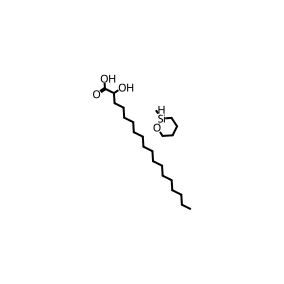 CCCCCCCCCCCCCCCCC(O)C(=O)O.C[SiH]1CCCCO1